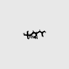 CC(C)Cc1cc(C(C)(C)C)[nH]n1